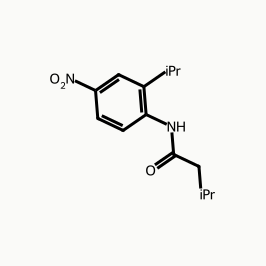 CC(C)CC(=O)Nc1ccc([N+](=O)[O-])cc1C(C)C